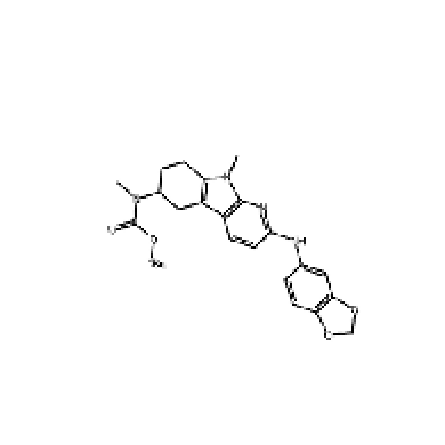 CN(C(=O)OC(C)(C)C)C1CCc2c(c3ccc(Nc4ccc5c(c4)OCO5)nc3n2C)C1